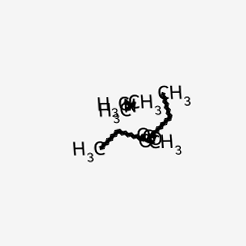 CCCCCCCC/C=C\CCCCCCCC(=O)OC(CC)OC(=O)CCCCCCC/C=C\CCCCCCCC.CCN(CC)CC